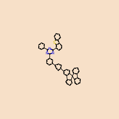 c1ccc(-c2nc(-c3cccc(-c4ccc(-c5ccc6c(c5)-c5ccccc5C65c6ccccc6-c6ccccc65)cc4)c3)nc(-c3cccc4c3sc3ccccc34)n2)cc1